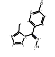 Cc1nnnn1/C(=N\O)c1ccc(Cl)nc1